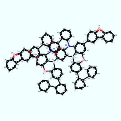 c1ccc(-c2ccccc2-c2ccc3c(c2)Oc2cc(-c4ccc5oc6ccccc6c5c4)cc4c2B3c2cc3c(cc2N4c2ccccc2-c2ccccc2)N(c2ccccc2-c2ccccc2)c2cc(-c4ccc5oc6ccccc6c5c4)cc4c2B3c2ccc(-c3ccccc3-c3ccccc3)cc2O4)cc1